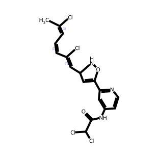 C\C(Cl)=C/C=C\C(Cl)=C\C1C=C(c2cc(NC(=O)C(Cl)Cl)ccn2)ON1